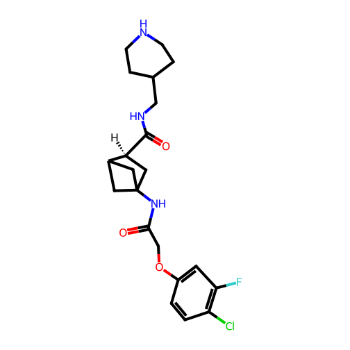 O=C(COc1ccc(Cl)c(F)c1)NC12CC(C1)[C@@H](C(=O)NCC1CCNCC1)C2